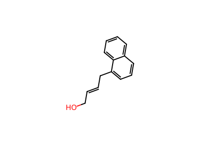 OCC=CCc1cccc2ccccc12